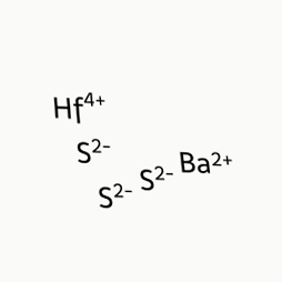 [Ba+2].[Hf+4].[S-2].[S-2].[S-2]